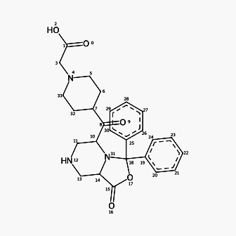 O=C(O)CN1CCC(C(=O)C2CNCC3C(=O)OC(c4ccccc4)(c4ccccc4)N32)CC1